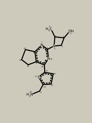 CC1C(O)CN1c1nc2c(c(-c3ccc(CN)s3)n1)CCC2